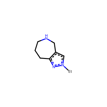 CCn1cc2c(n1)CCCNC2